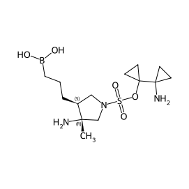 C[C@]1(N)CN(S(=O)(=O)OC2(C3(N)CC3)CC2)C[C@@H]1CCCB(O)O